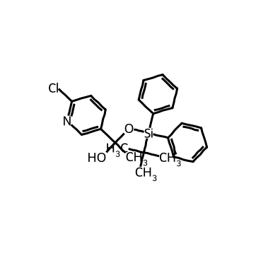 CC(O)(O[Si](c1ccccc1)(c1ccccc1)C(C)(C)C)c1ccc(Cl)nc1